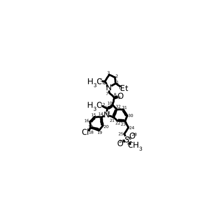 CCC1CCC(C)N1CC(=O)c1c(C)n(-c2ccc(Cl)cc2)c2cc(CCS(C)(=O)=O)ccc12